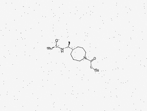 C[C@H](N[S@+]([O-])C(C)(C)C)C1CCCN(C(=O)OC(C)(C)C)CCC1